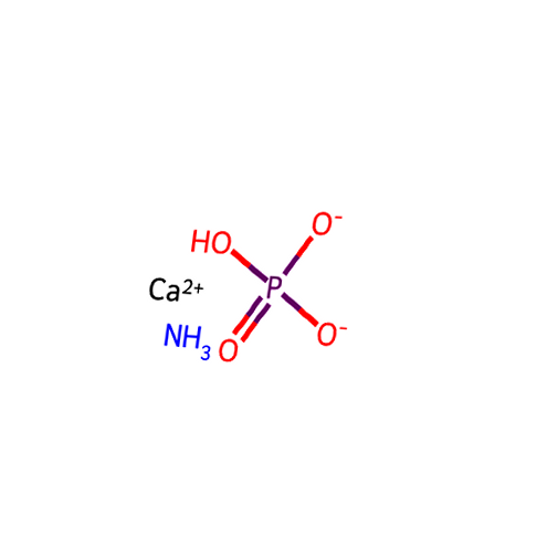 N.O=P([O-])([O-])O.[Ca+2]